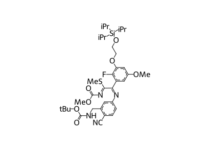 COC(=O)N=C(SC)C(=Nc1ccc(C#N)c(CNC(=O)OC(C)(C)C)c1)c1cc(OC)cc(OCCO[Si](C(C)C)(C(C)C)C(C)C)c1F